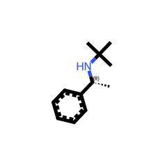 C[C@@H](NC(C)(C)C)c1ccccc1